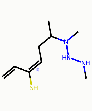 C=C/C(S)=C\CC(C)N(C)NNC